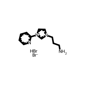 Br.NCCCn1cc[n+](-c2ccccn2)c1.[Br-]